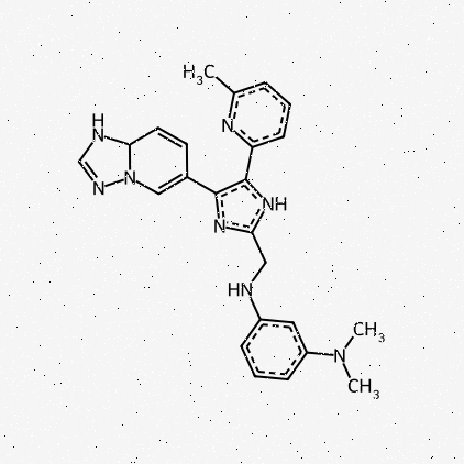 Cc1cccc(-c2[nH]c(CNc3cccc(N(C)C)c3)nc2C2=CN3N=CNC3C=C2)n1